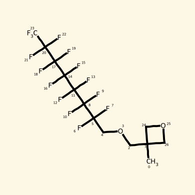 CC1(COCC(F)(F)C(F)(F)C(F)(F)C(F)(F)C(F)(F)C(F)(F)C(F)(F)F)COC1